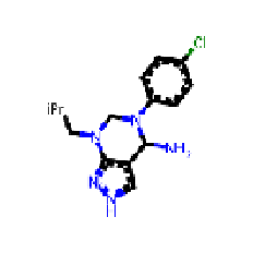 CC(C)CN1CN(c2ccc(Cl)cc2)C(N)c2c[nH]nc21